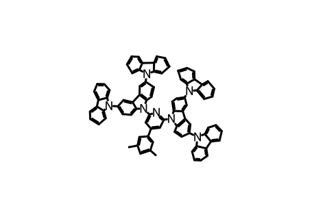 Cc1cc(C)cc(-c2cc(-n3c4ccc(-n5c6ccccc6c6ccccc65)cc4c4cc(-n5c6ccccc6c6ccccc65)ccc43)nc(-n3c4ccc(-n5c6ccccc6c6ccccc65)cc4c4cc(-n5c6ccccc6c6ccccc65)ccc43)c2)c1